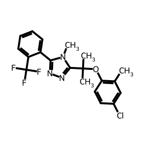 Cc1cc(Cl)ccc1OC(C)(C)c1nnc(-c2ccccc2C(F)(F)F)n1C